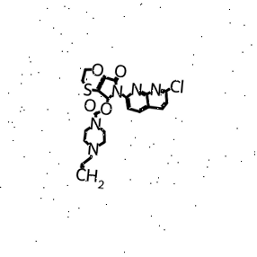 C=CCN1CCN(C(=O)OC2C3=C(OCCS3)C(=O)N2c2ccc3ccc(Cl)nc3n2)CC1